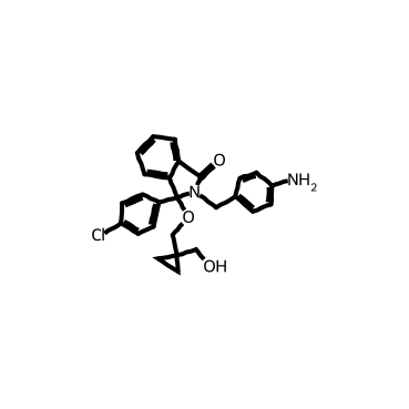 Nc1ccc(CN2C(=O)c3ccccc3C2(OCC2(CO)CC2)c2ccc(Cl)cc2)cc1